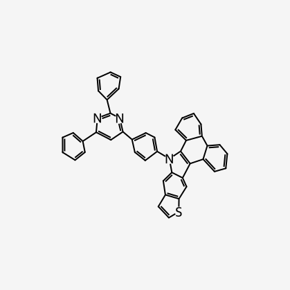 c1ccc(-c2cc(-c3ccc(-n4c5cc6ccsc6cc5c5c6ccccc6c6ccccc6c54)cc3)nc(-c3ccccc3)n2)cc1